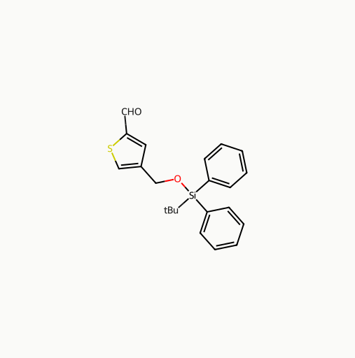 CC(C)(C)[Si](OCc1csc(C=O)c1)(c1ccccc1)c1ccccc1